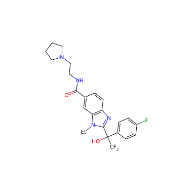 CCn1c(C(O)(c2ccc(F)cc2)C(F)(F)F)nc2ccc(C(=O)NCCN3CCCC3)cc21